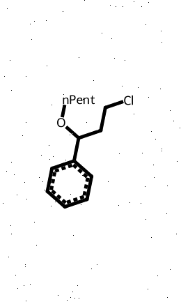 CCCCCOC(CCCl)c1ccccc1